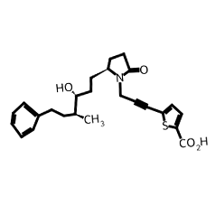 C[C@@H](CCc1ccccc1)[C@H](O)CC[C@H]1CCC(=O)N1CC#Cc1ccc(C(=O)O)s1